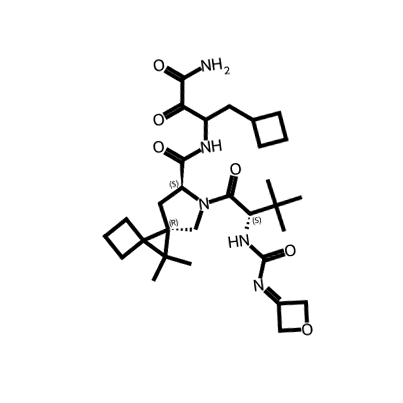 CC(C)(C)[C@H](NC(=O)N=C1COC1)C(=O)N1C[C@]2(C[C@H]1C(=O)NC(CC1CCC1)C(=O)C(N)=O)C(C)(C)C21CCC1